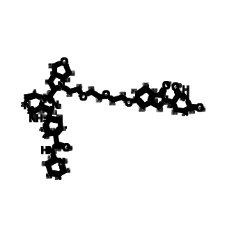 Nc1nccn2c(C3CC4COCC4N3CCOCCOCCOc3ccc4c(c3)CN(C3CCC(=O)NC3=O)C4=O)nc(-c3ccc(C(=O)Nc4ccccn4)cc3)c12